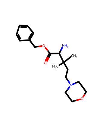 CC(C)(CCN1CCOCC1)C(N)C(=O)OCc1ccccc1